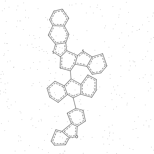 c1ccc2cc3c(cc2c1)sc1cc(-c2c4ccccc4c(-c4ccc5oc6ccccc6c5c4)c4ccccc24)c2c4ccccc4sc2c13